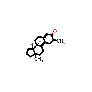 CC1CC2=C3CC[C@]4(C)CCC[C@H]4[C@@H]3CCC2=CC1=O